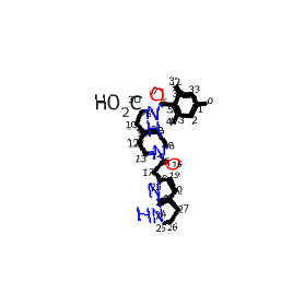 Cc1cc(C)c(C(=O)NC(CC2CCN(C(=O)Cc3ccc4c(n3)NCCC4)CC2)C(=O)O)c(C)c1